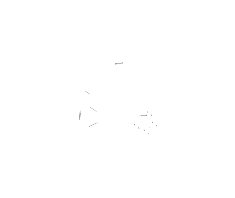 O=C1CCCCC(OC(=O)c2ccc(Cl)c(OCCn3cnnn3)c2Cl)C1